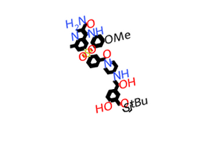 COc1cccc(Nc2c(C(N)=O)cnc3c(C)cc(S(=O)(=O)c4cccc(C(=O)N5CCC(NCC(O)c6ccc(O)c(CO[Si](C)(C)C(C)(C)C)c6)CC5)c4)cc23)c1